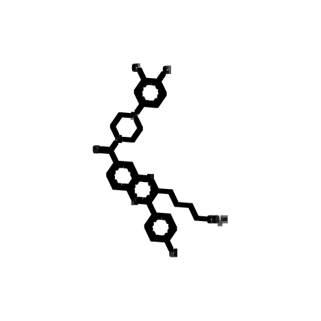 O=C(O)CCCCc1nc2cc(C(=O)N3CCN(c4ccc(Cl)c(Cl)c4)CC3)ccc2nc1-c1ccc(Cl)cc1